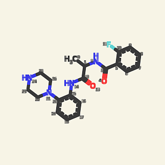 CC(NC(=O)c1ccccc1F)C(=O)Nc1ccccc1N1CCNCC1